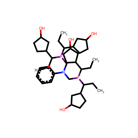 CCC(C1CCC(O)C1)P(CN(CP(C(CC)C1CCC(O)C1)C(CC)C1CCC(O)C1)c1ccccc1)C(CC)C1CCC(O)C1